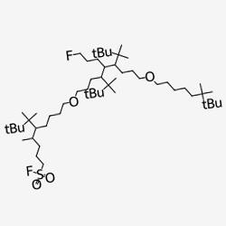 CC(CCCS(=O)(=O)F)C(CCCCOCCCC(C(CCCF)C(CCCOCCCCCC(C)(C)C(C)(C)C)C(C)(C)C(C)(C)C)C(C)(C)C(C)(C)C)C(C)(C)C(C)(C)C